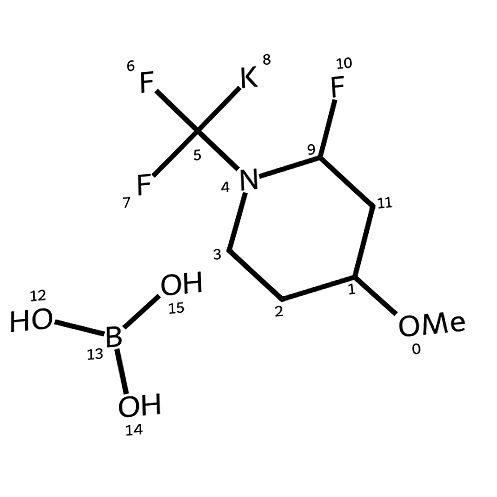 COC1CCN([C](F)(F)[K])C(F)C1.OB(O)O